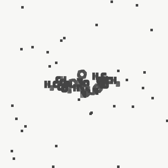 CN(C)S(=O)(=O)N1CCN(Cc2cnc(NC(=O)N(C3CCCCC3)C3CCN(C(=O)OC(C)(C)C)CC3)s2)CC1